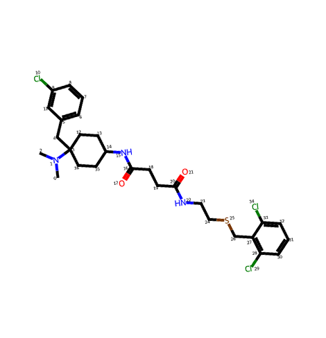 CN(C)C1(Cc2cccc(Cl)c2)CCC(NC(=O)CCC(=O)NCCSCc2c(Cl)cccc2Cl)CC1